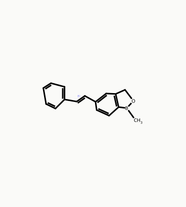 CB1OCc2cc(/C=C/c3ccccc3)ccc21